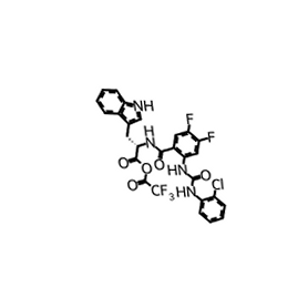 O=C(Nc1ccccc1Cl)Nc1cc(F)c(F)cc1C(=O)N[C@@H](Cc1c[nH]c2ccccc12)C(=O)OC(=O)C(F)(F)F